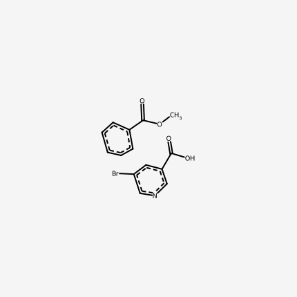 COC(=O)c1ccccc1.O=C(O)c1cncc(Br)c1